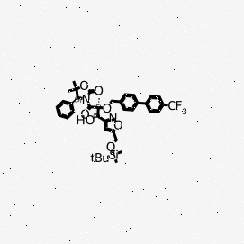 CC1(C)OC(=O)N(C(=O)[C@@](C)(OCc2ccc(-c3ccc(C(F)(F)F)cc3)cc2)[C@@H](O)c2cc(CO[Si](C)(C)C(C)(C)C)on2)[C@H]1c1ccccc1